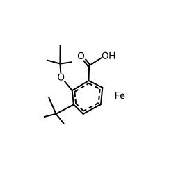 CC(C)(C)Oc1c(C(=O)O)cccc1C(C)(C)C.[Fe]